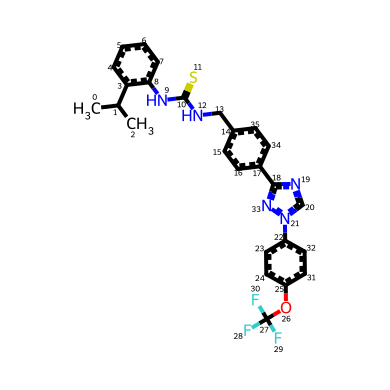 CC(C)c1ccccc1NC(=S)NCc1ccc(-c2ncn(-c3ccc(OC(F)(F)F)cc3)n2)cc1